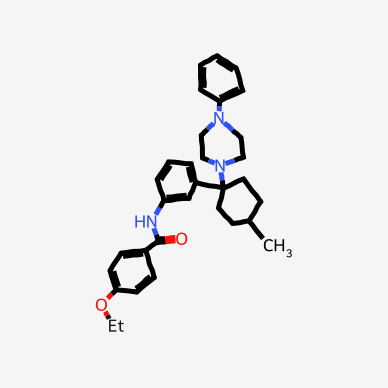 CCOc1ccc(C(=O)Nc2cccc(C3(N4CCN(c5ccccc5)CC4)CCC(C)CC3)c2)cc1